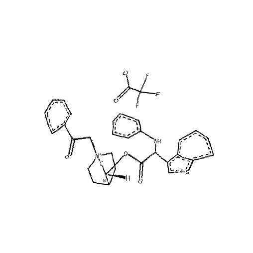 O=C(C[N+]12CCC(CC1)[C@@H](OC(=O)C(Nc1ccccc1)c1csc3ccccc13)C2)c1ccccc1.O=C([O-])C(F)(F)F